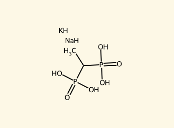 CC(P(=O)(O)O)P(=O)(O)O.[KH].[NaH]